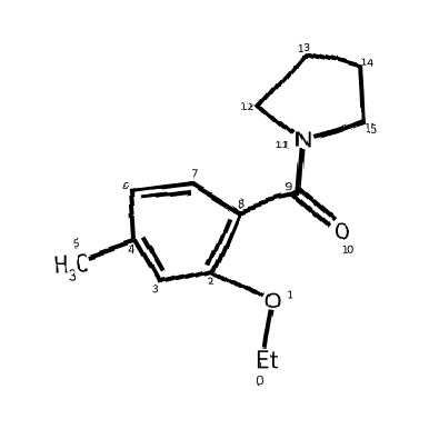 CCOc1cc(C)ccc1C(=O)N1CCCC1